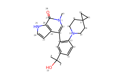 Cn1cc(-c2cc(C(C)(C)O)ccc2N2CCC3(CC2)CC3)c2cc[nH]c2c1=O